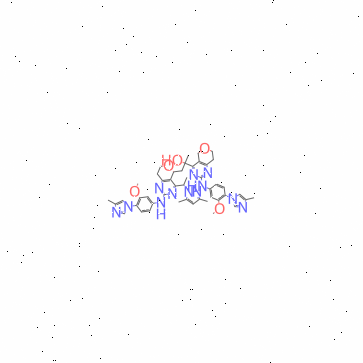 COc1cc(Nc2nc3c(c(C(C)n4nc(C)cc4C)n2)C(CC(C)(O)c2nc(Nc4ccc(-n5cnc(C)c5)c(OC)c4)nc4c2COCC4)OCC3)ccc1-n1cnc(C)c1